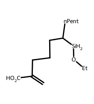 C=C(CCCC(CCCCC)[SiH2]OCC)C(=O)O